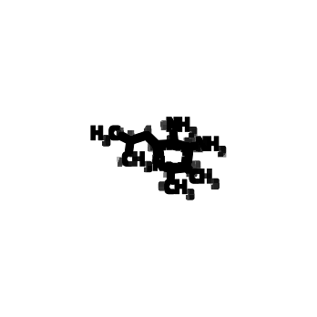 Cc1nc(CC(C)C)c(N)c(N)c1C